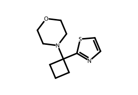 c1csc(C2(N3CCOCC3)CCC2)n1